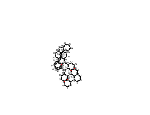 c1ccc(-c2cccc3cccc(-c4ccccc4N(c4cccc(-c5ccc6sc7ccccc7c6c5)c4)c4ccccc4-n4c5ccccc5c5ccccc54)c23)cc1